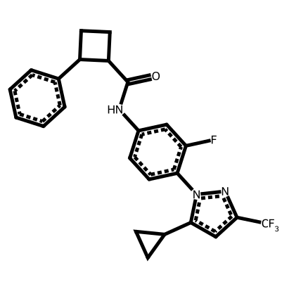 O=C(Nc1ccc(-n2nc(C(F)(F)F)cc2C2CC2)c(F)c1)C1CCC1c1ccccc1